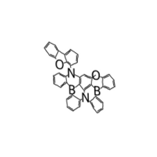 c1ccc2c(c1)Oc1cc3c4c5c1B2c1ccccc1N5c1ccccc1B4c1ccccc1N3c1cccc2c1oc1ccccc12